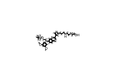 COc1cc(OC)cc(N(CCO[Si](C)(C)C(C)(C)C)c2ccc3ncc(-c4cnn(CCCNCCNCCO)c4)nc3c2)c1